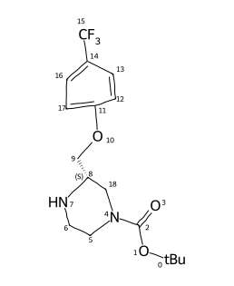 CC(C)(C)OC(=O)N1CCN[C@H](COc2ccc(C(F)(F)F)cc2)C1